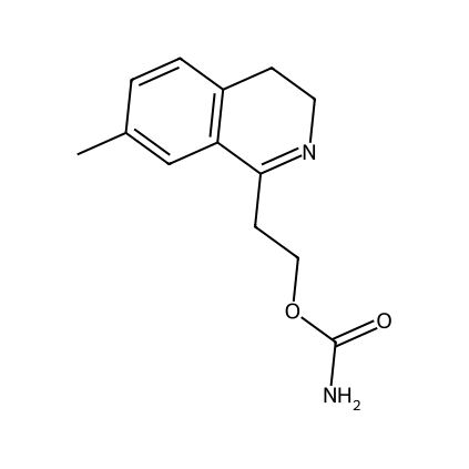 Cc1ccc2c(c1)C(CCOC(N)=O)=NCC2